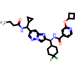 O=C(CCC(F)(F)F)NC(c1cnn2cc([C@@H](NC(=O)c3ccnc(OC4CCC4)c3)C3CCC(F)(F)CC3)nc2c1)C1CC1